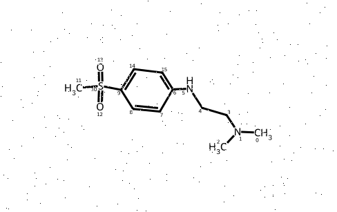 CN(C)CCNc1ccc(S(C)(=O)=O)cc1